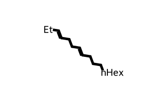 [CH2]C/C=C/CC/C=C/CCCCCCCCC